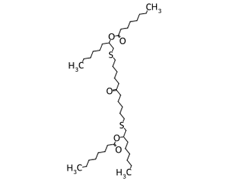 CCCCCCCC(=O)OC(CCCCCC)CSCCCCCC(=O)CCCCCSCC(CCCCCC)OC(=O)CCCCCCC